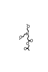 COCCN(CCOC)CCC(=O)OCC(C)=O